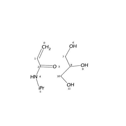 C=CC(=O)NC(C)C.OCC(O)CO